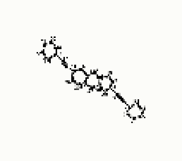 C(#Cc1ccccn1)c1ccc2cc3cc(C#Cc4ccccn4)ccc3cc2c1